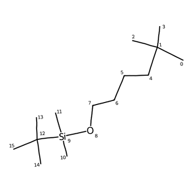 CC(C)(C)CCCCO[Si](C)(C)C(C)(C)C